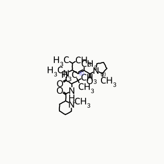 C/C(=C\C(C(C)C)N(C)C(=O)C(NC(=O)C1CCCCN1C)C(C)(C)C)C(=O)N1CCC[C@H]1C